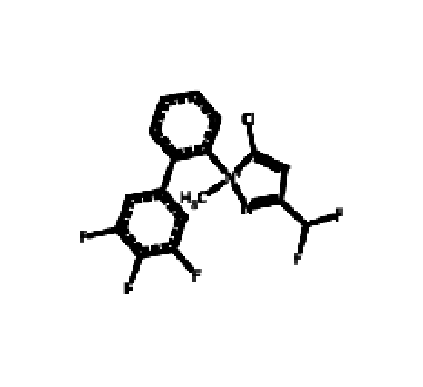 C[N+]1(c2ccccc2-c2cc(F)c(F)c(F)c2)N=C(C(F)F)[C]=C1Cl